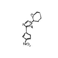 O=[N+]([O-])c1ccc(-c2ncn(C3CCCCO3)n2)cc1